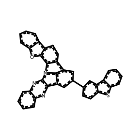 c1ccc2nc3c(nc2c1)c1cc(-c2ccc4sc5ccccc5c4c2)cc2c4ccc5c6ccccc6oc5c4n3c21